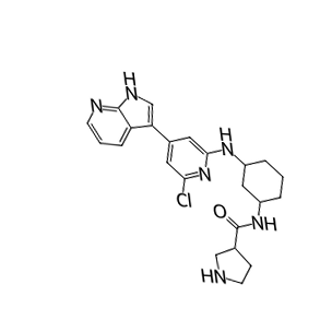 O=C(NC1CCCC(Nc2cc(-c3c[nH]c4ncccc34)cc(Cl)n2)C1)C1CCNC1